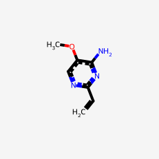 C=Cc1ncc(OC)c(N)n1